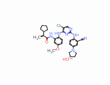 C=C(C(=O)Nc1cc(OC)ccc1Nc1nc(Nc2ccc(N3CC[C@H](O)C3)cc2C#N)ncc1Cl)C1CCCC1